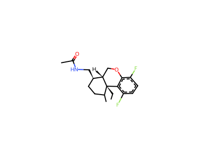 CC[C@]12c3c(F)ccc(F)c3OC[C@H]1[C@H](CNC(C)=O)CCC2C